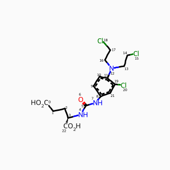 O=C(O)CC[C@@H](NC(=O)Nc1ccc(N(CCCl)CCCl)c(Cl)c1)C(=O)O